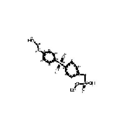 CCOP(=O)(O)Cc1ccc(S(=O)(=O)c2ccc(OCO)cc2)cc1